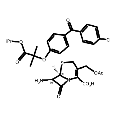 CC(=O)OCC1=C(C(=O)O)N2C(=O)[C@@H](N)[C@H]2SC1.CC(C)OC(=O)C(C)(C)Oc1ccc(C(=O)c2ccc(Cl)cc2)cc1